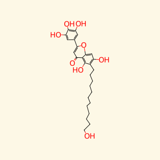 O=c1cc(-c2cc(O)c(O)c(O)c2)oc2cc(O)c(CCCCCCCCCCCCO)c(O)c12